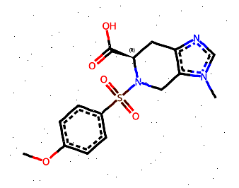 COc1ccc(S(=O)(=O)N2Cc3c(ncn3C)C[C@@H]2C(=O)O)cc1